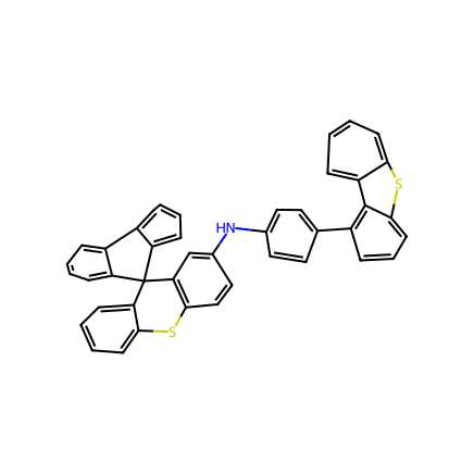 c1ccc2c(c1)Sc1ccc(Nc3ccc(-c4cccc5sc6ccccc6c45)cc3)cc1C21c2ccccc2-c2ccccc21